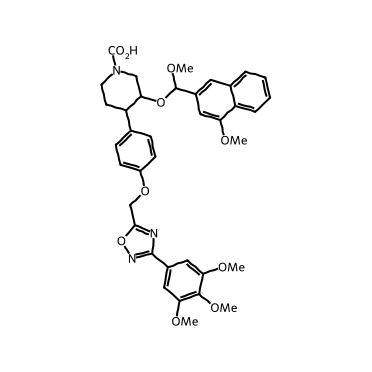 COc1cc(-c2noc(COc3ccc(C4CCN(C(=O)O)CC4OC(OC)c4cc(OC)c5ccccc5c4)cc3)n2)cc(OC)c1OC